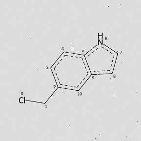 ClCc1ccc2[nH][c]cc2c1